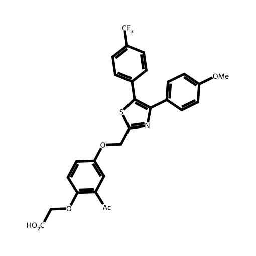 COc1ccc(-c2nc(COc3ccc(OCC(=O)O)c(C(C)=O)c3)sc2-c2ccc(C(F)(F)F)cc2)cc1